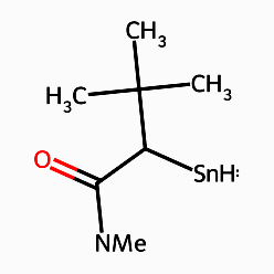 CNC(=O)[CH]([SnH])C(C)(C)C